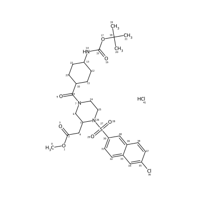 COC(=O)CC1CN(C(=O)C2CCC(NC(=O)OC(C)(C)C)CC2)CCN1S(=O)(=O)c1ccc2cc(Cl)ccc2c1.Cl